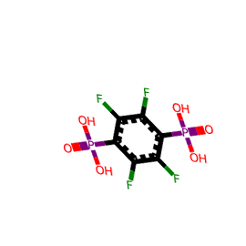 O=P(O)(O)c1c(F)c(F)c(P(=O)(O)O)c(F)c1F